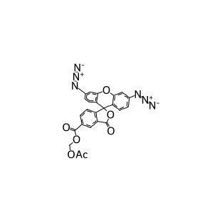 CC(=O)OCOC(=O)c1ccc2c(c1)C(=O)OC21c2ccc(N=[N+]=[N-])cc2Oc2cc(N=[N+]=[N-])ccc21